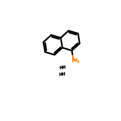 Pc1cccc2ccccc12.[HH].[HH]